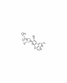 C=Cc1cc(-c2cc(C#N)c(N3CCN(C(=O)CCO)[C@H](C4CC4)C3)nc2C2CC2)c2cccnc2n1